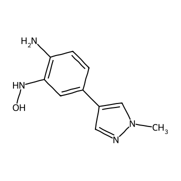 Cn1cc(-c2ccc(N)c(NO)c2)cn1